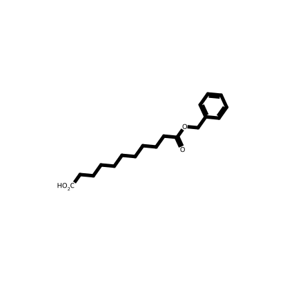 O=C(O)CCCCCCCCCC(=O)OCc1ccccc1